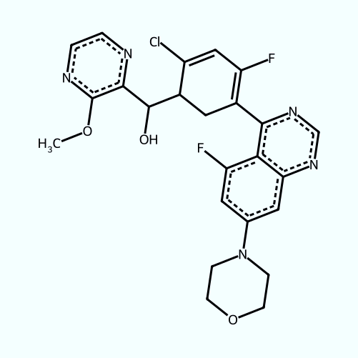 COc1nccnc1C(O)C1CC(c2ncnc3cc(N4CCOCC4)cc(F)c23)=C(F)C=C1Cl